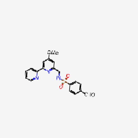 COc1cc(CNS(=O)(=O)c2ccc(C=O)cc2)nc(-c2ccccn2)c1